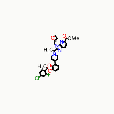 COC(=O)c1ccc2nc([C@H](C)N3CC=C(c4cccc5c4OC(C)(c4ccc(Cl)cc4F)O5)CC3)n(C[C@@H]3CCO3)c2n1